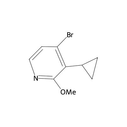 COc1nccc(Br)c1C1CC1